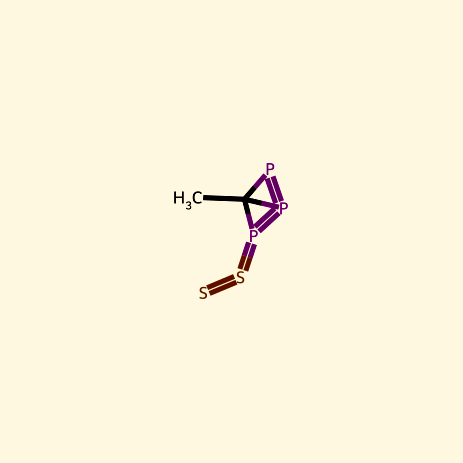 CC12P=P1=P2=S=S